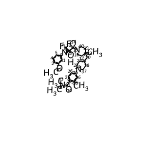 COc1cccc(N2C(F)(F)[C@@]2(O)C(=O)N2CCC(C)(CC3CCN(c4ccc(C(=O)N(C)C)c(C)c4)CC3)CC2)c1